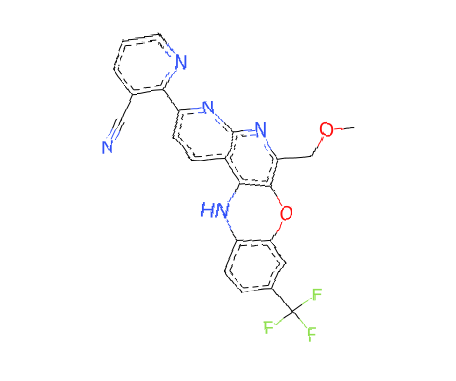 COCc1nc2nc(-c3ncccc3C#N)ccc2c2c1Oc1cc(C(F)(F)F)ccc1N2